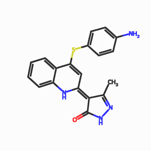 CC1=NNC(=O)/C1=C1/C=C(Sc2ccc(N)cc2)c2ccccc2N1